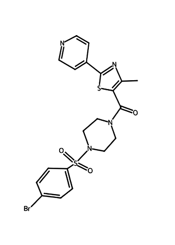 Cc1nc(-c2ccncc2)sc1C(=O)N1CCN(S(=O)(=O)c2ccc(Br)cc2)CC1